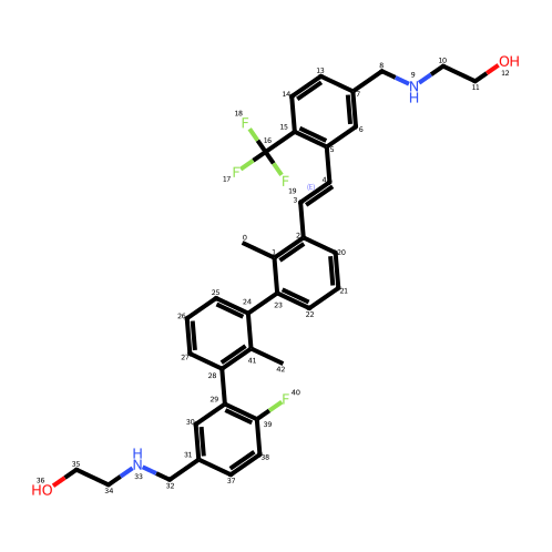 Cc1c(/C=C/c2cc(CNCCO)ccc2C(F)(F)F)cccc1-c1cccc(-c2cc(CNCCO)ccc2F)c1C